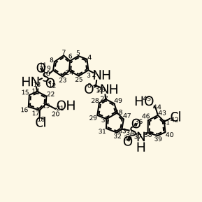 O=C(Nc1ccc2ccc(S(=O)(=O)Nc3ccc(Cl)c(CO)c3)cc2c1)Nc1ccc2ccc(S(=O)(=O)Nc3ccc(Cl)c(CO)c3)cc2c1